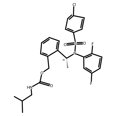 CC(C)CNC(=O)OCc1ccccc1[C@@H](C)N(c1cc(F)ccc1F)S(=O)(=O)c1ccc(Cl)cc1